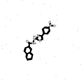 O=C(NNc1nc(-c2ccc([N+](=O)[O-])cc2)cs1)c1ccc2ccccc2c1